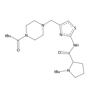 CC(C)(C)C(=O)N1CCN(Cc2csc(NC(=O)C3CCCN3C(C)(C)C)n2)CC1